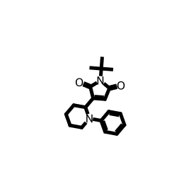 CC(C)(C)N1C(=O)C=C(C2CCCCN2c2ccccc2)C1=O